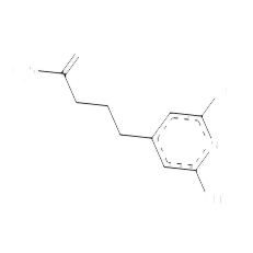 Cc1cc(C[CH]CC(N)=O)cc(C)n1